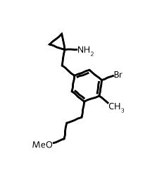 COCCCc1cc(CC2(N)CC2)cc(Br)c1C